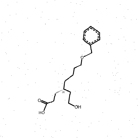 O=C(O)CC[C@@H](CCO)CCCCOCc1ccccc1